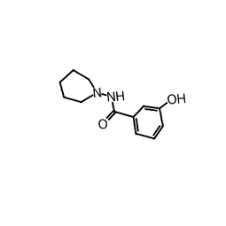 O=C(NN1CCCCC1)c1cccc(O)c1